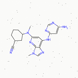 CN(c1cc(Nc2cc(N)ncn2)c2ncn(C)c2n1)C1CCCC(C#N)C1